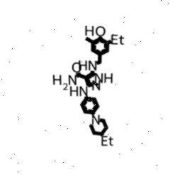 CCc1cc(CNc2[nH]nc(Nc3ccc(N4CCC(CC)CC4)cc3)c2C(N)=O)cc(C)c1O